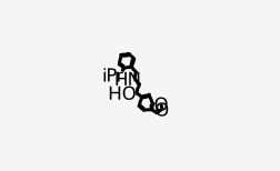 CC(C)c1ccccc1CNCC(O)c1ccc2c(c1)OOC2